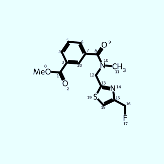 COC(=O)c1cccc(C(=O)N(C)Cc2nc(CF)cs2)c1